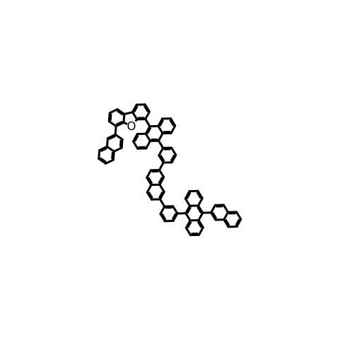 c1cc(-c2ccc3ccc(-c4cccc(-c5c6ccccc6c(-c6cccc7c6oc6c(-c8ccc9ccccc9c8)cccc67)c6ccccc56)c4)cc3c2)cc(-c2c3ccccc3c(-c3ccc4ccccc4c3)c3ccccc23)c1